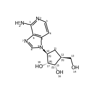 Nc1nccc2c1ncn2[C@H]1C[C@@H](CO)[C@H](O)[C@@H]1O